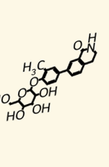 Cc1cc(-c2ccc3c(c2)C(=O)NCC3)ccc1OC1OC(CO)C(O)C(O)C1O